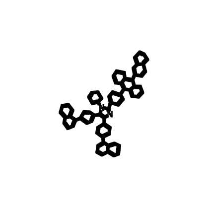 C1=CCCC(n2c(-c3ccc(-c4c5ccccc5c(-c5ccc6ccccc6c5)c5ccccc45)cc3)nc(-c3ccc(-c4cccc5ccccc45)cc3)c2-c2ccc(-c3cccc4ccccc34)cc2)=C1